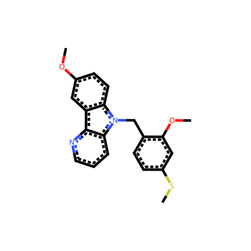 COc1ccc2c(c1)c1ncccc1n2Cc1ccc(SC)cc1OC